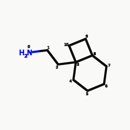 NCCC12CCCCC1CC2